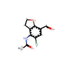 CC(=O)Nc1c(Cl)cc([C]=O)c2c1CCO2